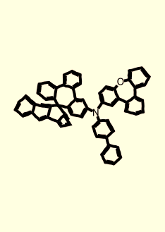 c1ccc(-c2ccc(N(c3ccc4c(c3)-c3ccccc3-c3ccccc3O4)c3ccc4c(c3)-c3ccccc3-c3ccccc3C43c4ccccc4-c4cc5ccccc5cc43)cc2)cc1